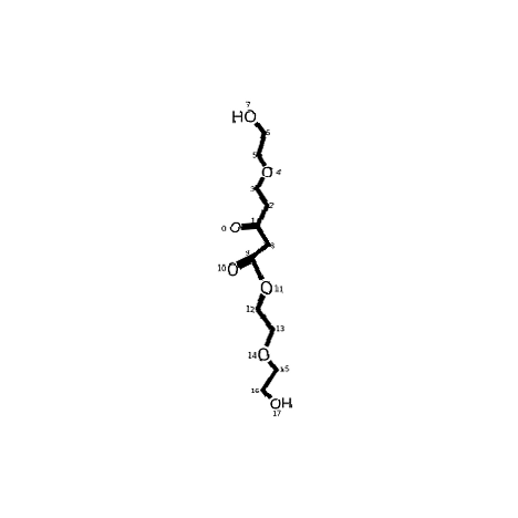 O=C(CCOCCO)CC(=O)OCCOCCO